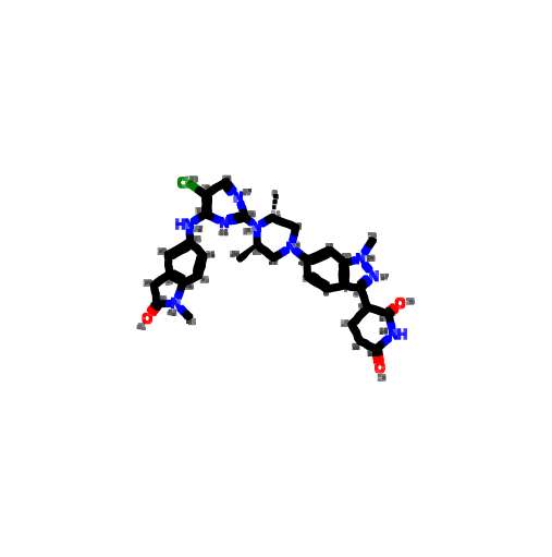 C[C@@H]1CN(c2ccc3c(C4CCC(=O)NC4=O)nn(C)c3c2)C[C@@H](C)N1c1ncc(Cl)c(Nc2ccc3c(c2)CC(=O)N3C)n1